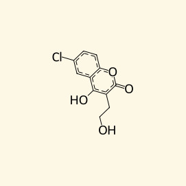 O=c1oc2ccc(Cl)cc2c(O)c1CCO